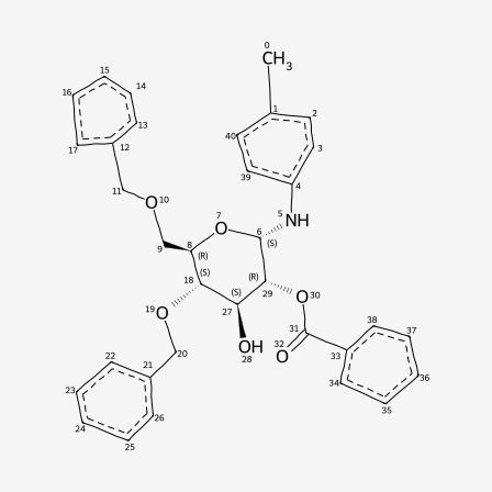 Cc1ccc(N[C@H]2O[C@H](COCc3ccccc3)[C@@H](OCc3ccccc3)[C@H](O)[C@H]2OC(=O)c2ccccc2)cc1